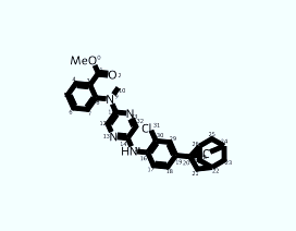 COC(=O)c1ccccc1N(C)c1cnc(Nc2ccc(C34CC5CC(CC3C5)C4)cc2Cl)cn1